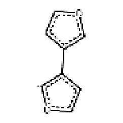 [c]1occc1-c1ccoc1